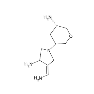 N/C=C1/CN(C2COC[C@@H](N)C2)CC1N